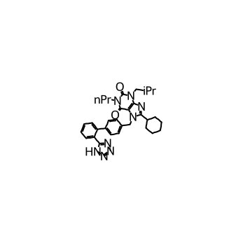 CCCn1c(=O)c2c(nc(C3CCCCC3)n2Cc2ccc(-c3ccccc3-c3nnn[nH]3)cc2)n(CC(C)C)c1=O